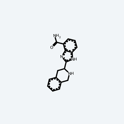 NC(=O)c1cccc2[nH]c(C3Cc4ccccc4CN3)nc12